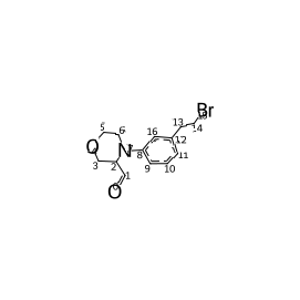 O=CC1COCCN1c1cccc(CCBr)c1